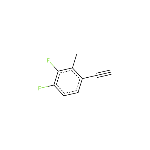 C#Cc1ccc(F)c(F)c1C